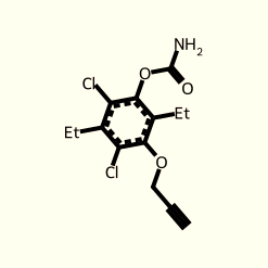 C#CCOc1c(Cl)c(CC)c(Cl)c(OC(N)=O)c1CC